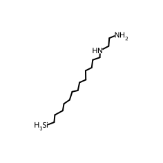 NCCNCCCCCCCCCCCCC[SiH3]